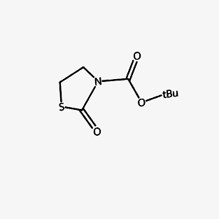 CC(C)(C)OC(=O)N1CCSC1=O